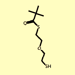 CC(C)(C)C(=O)SCCOCCS